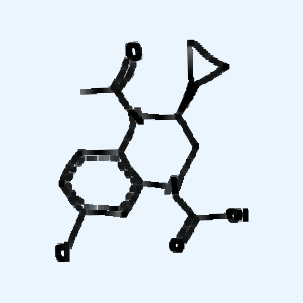 CC(=O)N1c2ccc(Cl)cc2N(C(=O)O)C[C@@H]1C1CC1